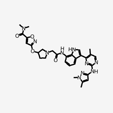 Cc1cnc(Nc2cc(C)n(C)n2)nc1-c1c[nH]c2c(NC(=O)CN3CCC(Oc4cc(C(=O)N(C)C)on4)C3)cccc12